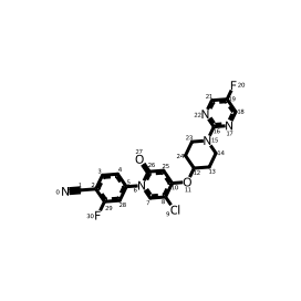 N#Cc1ccc(-n2cc(Cl)c(OC3CCN(c4ncc(F)cn4)CC3)cc2=O)cc1F